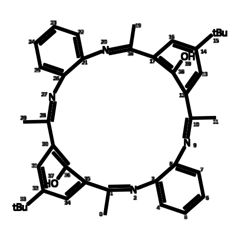 Cc1nc2ccccc2nc(C)c2cc(C(C)(C)C)cc(c(C)nc3ccccc3nc(C)c3cc(C(C)(C)C)cc1c3O)c2O